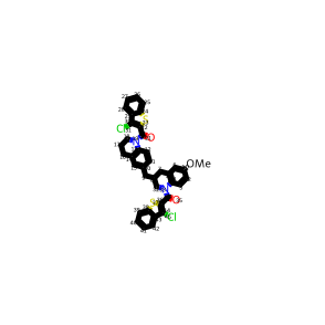 COc1ccc2c(c1)CC(Cc1ccc3c(c1)CCCN3C(=O)c1sc3ccccc3c1Cl)CN2C(=O)c1sc2ccccc2c1Cl